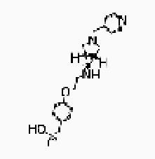 C[C@@H](O)Cc1ccc(OCCN[C@H]2[C@@H]3CN(Cc4ccncc4)C[C@@H]32)cc1